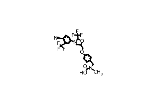 CN(Cc1ccc(OCC2CN(c3ccc(C#N)c(C(F)(F)F)c3)C(C(F)(F)F)O2)cc1)C(=O)O